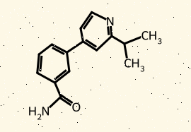 CC(C)c1cc(-c2cccc(C(N)=O)c2)ccn1